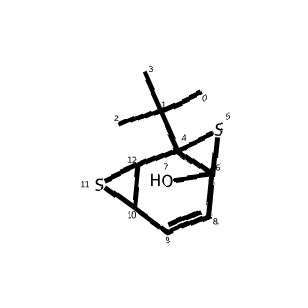 CC(C)(C)C12SC1(O)C=CC1SC12